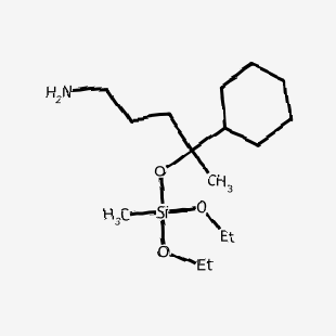 CCO[Si](C)(OCC)OC(C)(CCCN)C1CCCCC1